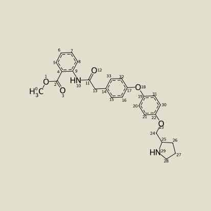 COC(=O)c1ccccc1NC(=O)Cc1ccc(Oc2ccc(OCC3CCCN3)cc2)cc1